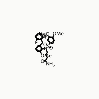 COc1ccc(S(=O)(=O)N(CCCC(N)=O)c2c(Cc3c(F)cccc3F)cccc2OC)cc1OC